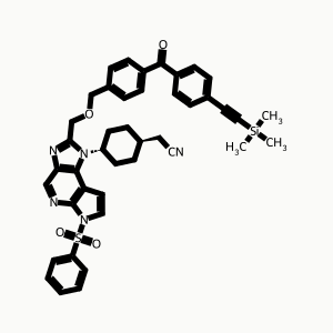 C[Si](C)(C)C#Cc1ccc(C(=O)c2ccc(COCc3nc4cnc5c(ccn5S(=O)(=O)c5ccccc5)c4n3[C@H]3CC[C@H](CC#N)CC3)cc2)cc1